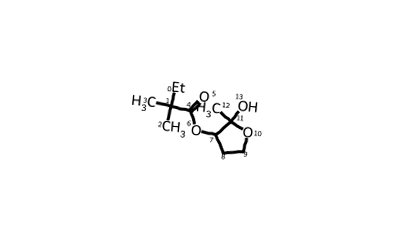 CCC(C)(C)C(=O)OC1CCOC1(C)O